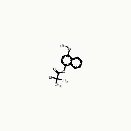 CCCCOc1ccc(OC(=O)C(C)(C)CC)c2ccccc12